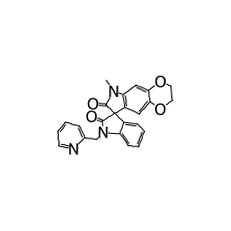 CN1C(=O)C2(C(=O)N(Cc3ccccn3)c3ccccc32)c2cc3c(cc21)OCCO3